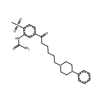 CS(=O)(=O)c1ccc(C(=O)CCCCCN2CCN(c3ccccc3)CC2)cc1NC(N)=S